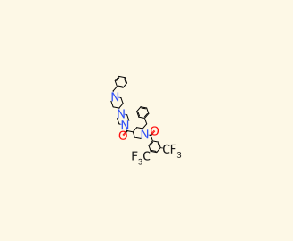 O=C(C1CCN(C(=O)c2cc(C(F)(F)F)cc(C(F)(F)F)c2)C(Cc2ccccc2)C1)N1CCN(C2CCN(Cc3ccccc3)CC2)CC1